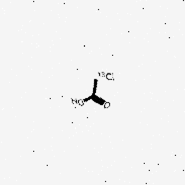 CC(=O)O.[13C]